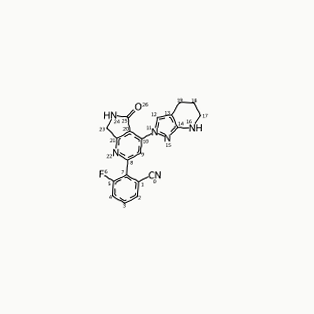 N#Cc1cccc(F)c1-c1cc(-n2cc3c(n2)NCCC3)c2c(n1)CNC2=O